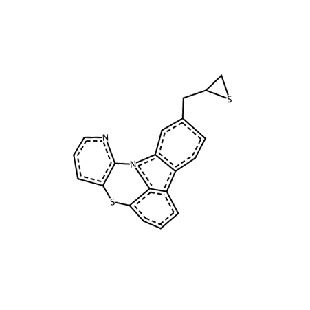 c1cnc2c(c1)Sc1cccc3c4ccc(CC5CS5)cc4n-2c13